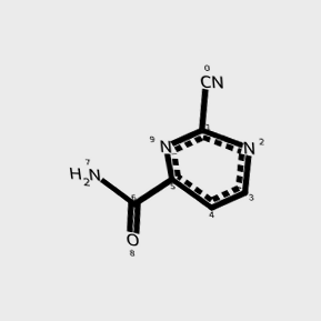 N#Cc1nccc(C(N)=O)n1